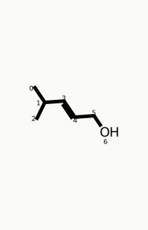 CC(C)C=CCO